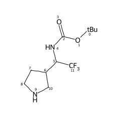 CC(C)(C)OC(=O)NC(C1CCNC1)C(F)(F)F